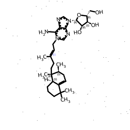 C/C(=C\C[n+]1cnc2c(ncn2[C@@H]2O[C@H](CO)[C@@H](O)[C@H]2O)c1N)CC[C@@]1(C)[C@@H]2CCCC(C)(C)C2=CC[C@@H]1C